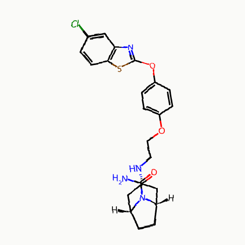 NC(=O)N1[C@@H]2CC[C@H]1C[C@@H](NCCOc1ccc(Oc3nc4cc(Cl)ccc4s3)cc1)C2